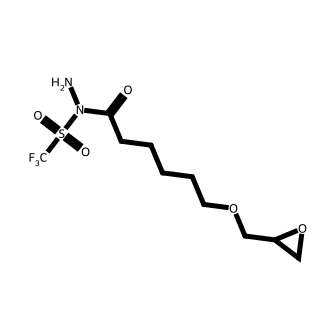 NN(C(=O)CCCCCOCC1CO1)S(=O)(=O)C(F)(F)F